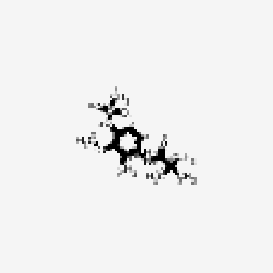 COc1c(OS(C)(=O)=O)ccc(NC(=O)C(C)(C)C)c1C